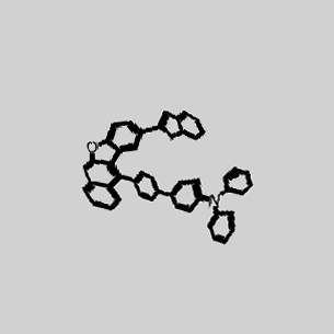 C1=C(c2ccc3oc4cc5ccccc5c(-c5ccc(-c6ccc(N(c7ccccc7)c7ccccc7)cc6)cc5)c4c3c2)Cc2ccccc21